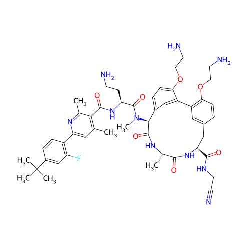 Cc1cc(-c2ccc(C(C)(C)C)cc2F)nc(C)c1C(=O)N[C@@H](CCN)C(=O)N(C)[C@@H]1C(=O)N[C@@H](C)C(=O)N[C@H](C(=O)NCC#N)Cc2ccc(OCCN)c(c2)-c2cc1ccc2OCCN